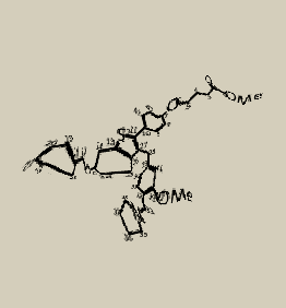 COC(=O)CCCOc1ccc(-c2sc3cc(OCc4ccccc4)ccc3c2Cc2ccc(CN3CCCC3)c(OC)c2)cc1